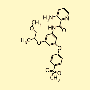 COC[C@H](C)Oc1cc(NC(=O)c2ncccc2N)cc(Oc2ccc(S(C)(=O)=O)cc2)c1